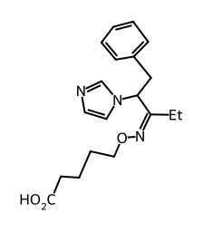 CC/C(=N/OCCCCC(=O)O)C(Cc1ccccc1)n1ccnc1